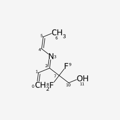 C=C/C(=N\C=C/C)C(F)(F)CO